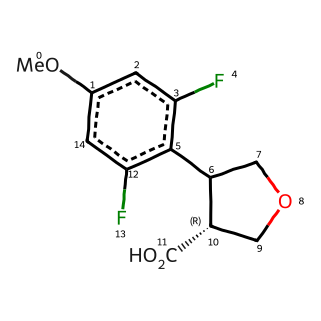 COc1cc(F)c(C2COC[C@@H]2C(=O)O)c(F)c1